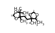 CC1OCOC1(C)CCC1(C)OCOC1(C)C